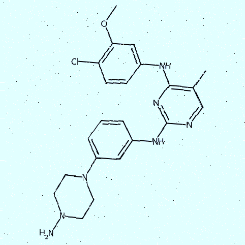 COc1cc(Nc2nc(Nc3cccc(N4CCN(N)CC4)c3)ncc2C)ccc1Cl